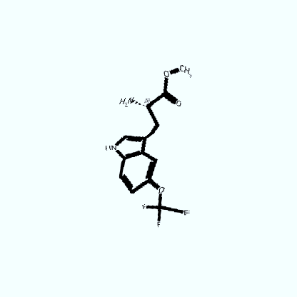 COC(=O)[C@@H](N)Cc1c[nH]c2ccc(OC(F)(F)F)cc12